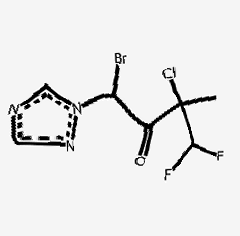 CC(Cl)(C(=O)C(Br)n1cncn1)C(F)F